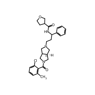 Cc1cccc(Cl)c1C(=O)N1CC2CN(CCC(NC(=O)C3CCOC3)c3ccccc3)C[C@H]2C1